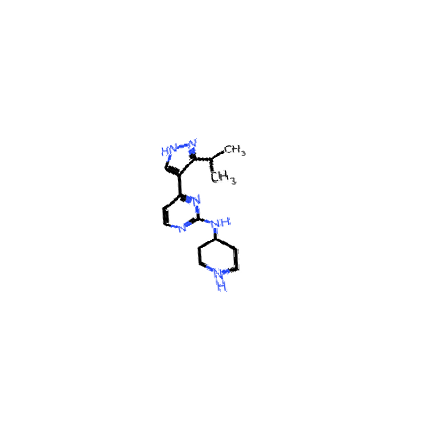 CC(C)c1n[nH]cc1-c1ccnc(NC2CCNCC2)n1